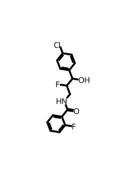 O=C(NCC(F)C(O)c1ccc(Cl)cc1)c1ccccc1F